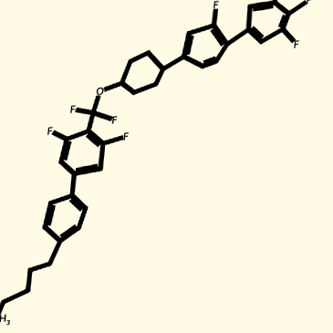 CCCCCc1ccc(-c2cc(F)c(C(F)(F)OC3CCC(c4ccc(-c5cc(F)c(F)c(F)c5)c(F)c4)CC3)c(F)c2)cc1